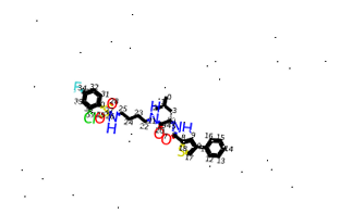 CC(C)C[C@H](NC(=O)c1cc(-c2ccccc2)cs1)C(=O)NCCCCNS(=O)(=O)c1ccc(F)cc1Cl